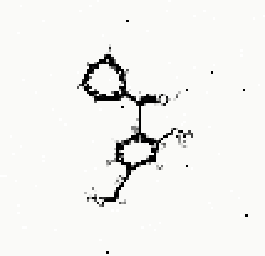 O=C(c1ccccc1)c1ccc(CO)cc1O